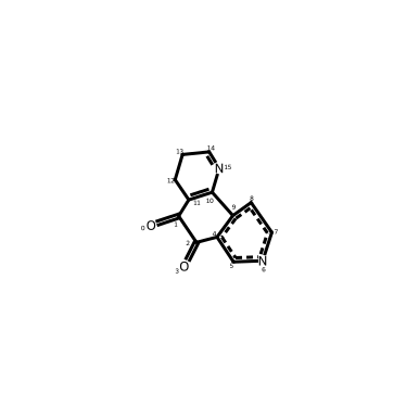 O=C1C(=O)c2cnccc2C2=C1CCC=N2